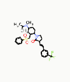 CC(C)N(C)C1CCC(N2CCC(/C=C/c3cccc(C(F)(F)F)c3)C2=O)C(CS(=O)(=O)c2ccccc2)C1